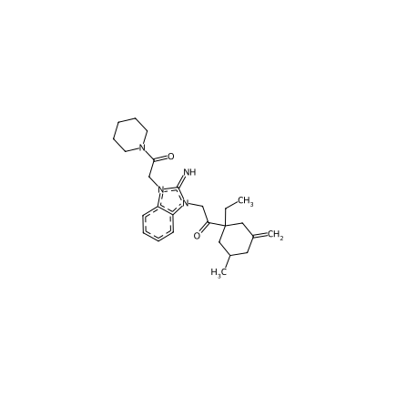 C=C1CC(C)CC(CC)(C(=O)Cn2c(=N)n(CC(=O)N3CCCCC3)c3ccccc32)C1